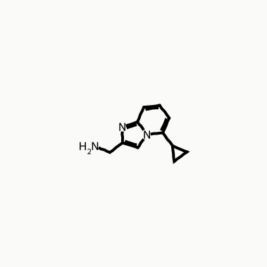 NCc1cn2c(C3CC3)cccc2n1